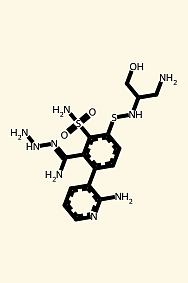 NCC(CO)NSc1ccc(-c2cccnc2N)c(/C(N)=N/NN)c1S(N)(=O)=O